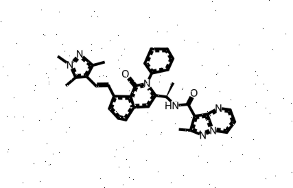 Cc1nn(C)c(C)c1/C=C/c1cccc2cc([C@@H](C)NC(=O)c3c(C)nn4cccnc34)n(-c3ccccc3)c(=O)c12